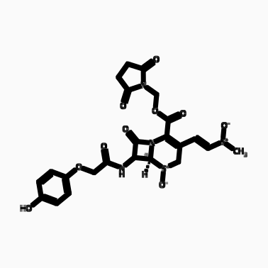 C[S+]([O-])C=CC1=C(C(=O)OCN2C(=O)CCC2=O)N2C(=O)C(NC(=O)COc3ccc(O)cc3)[C@@H]2[S+]([O-])C1